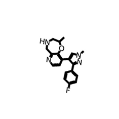 CC1CNCc2nccc(-c3cn(C)nc3-c3ccc(F)cc3)c2O1